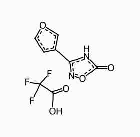 O=C(O)C(F)(F)F.O=c1[nH]c(-c2ccoc2)no1